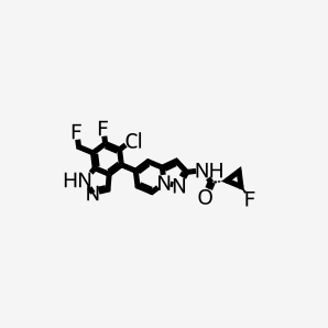 O=C(Nc1cc2cc(-c3c(Cl)c(F)c(CF)c4[nH]ncc34)ccn2n1)[C@@H]1C[C@@H]1F